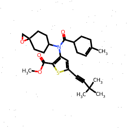 COC(=O)c1sc(C#CC(C)(C)C)cc1N(C(=O)C1CC=C(C)CC1)C1CCC2(CC1)CO2